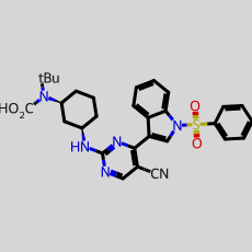 CC(C)(C)N(C(=O)O)[C@H]1CCC[C@@H](Nc2ncc(C#N)c(-c3cn(S(=O)(=O)c4ccccc4)c4ccccc34)n2)C1